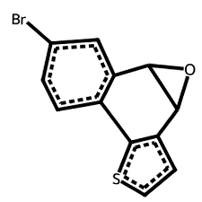 Brc1ccc2c(c1)C1OC1c1ccsc1-2